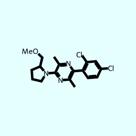 COCC1CCCN1c1nc(C)c(-c2ccc(Cl)cc2Cl)nc1C